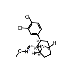 CO/N=C/[C@@H]1[C@@H](c2ccc(Cl)c(Cl)c2)C[C@@H]2CC[C@H]1N2